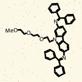 COCCOCCOCCn1c2cc(N=C(c3ccccc3)c3ccccc3)ccc2c2ccc(N=C(c3ccccc3)c3ccccc3)cc21